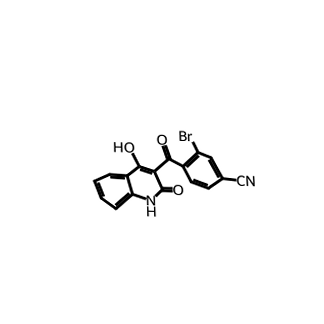 N#Cc1ccc(C(=O)c2c(O)c3ccccc3[nH]c2=O)c(Br)c1